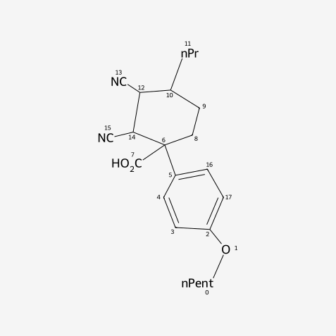 CCCCCOc1ccc(C2(C(=O)O)CCC(CCC)C(C#N)C2C#N)cc1